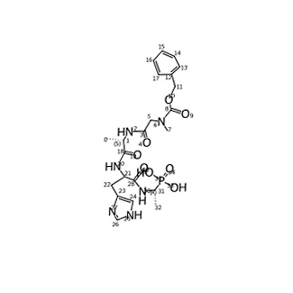 C[C@H](NC(=O)CN(C)C(=O)OCc1ccccc1)C(=O)NC(Cc1c[nH]cn1)C(=O)N[C@@H](C)P(=O)(O)O